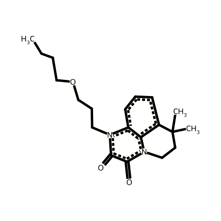 CCCCOCCCn1c(=O)c(=O)n2c3c(cccc31)C(C)(C)CC2